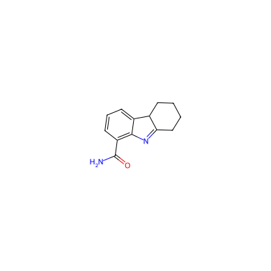 NC(=O)c1cccc2c1N=C1CCCCC12